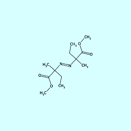 CCC(C)(/N=N/C(C)(CC)C(=O)OC)C(=O)OC